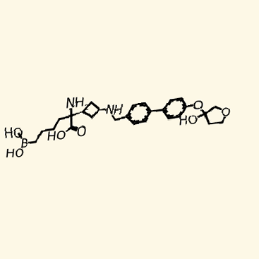 NC(CCCCB(O)O)(C(=O)O)[C@H]1C[C@@H](NCc2ccc(-c3ccc(OC4(O)CCOC4)cc3)cc2)C1